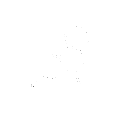 NCCN1C(=O)Cc2ccccc2C1=O